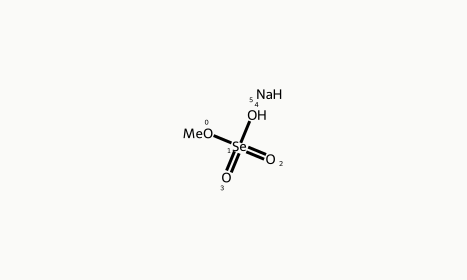 CO[Se](=O)(=O)O.[NaH]